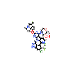 Cc1n[nH]c2cc(Cl)c(C(F)F)c(-c3nccc4c5c(N6CCOC[C@@](C)(O)C6)nc(OC[C@@]67CCCN6C[C@H](F)C7)nc5n(C)c34)c12